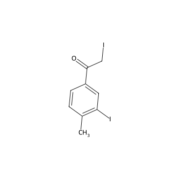 Cc1ccc(C(=O)CI)cc1I